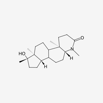 CN1C(=O)CC[C@]2(C)C3CC[C@@]4(C)[C@@H](CC[C@]4(C)O)C3CC[C@@H]12